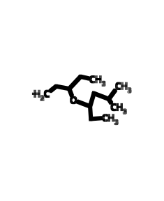 [CH2]CC(CC)OC(CC)CC(C)C